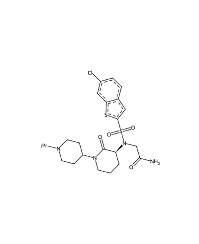 CC(C)N1CCC(N2CCC[C@H](N(CC(N)=O)S(=O)(=O)c3cc4ccc(Cl)cc4s3)C2=O)CC1